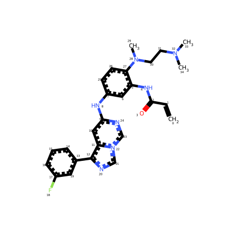 C=CC(=O)Nc1cc(Nc2cc3c(-c4cccc(F)c4)ncn3cn2)ccc1N(C)CCN(C)C